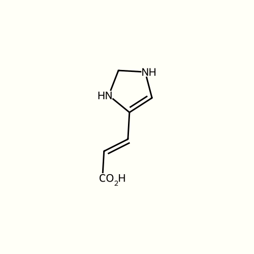 O=C(O)C=CC1=CNCN1